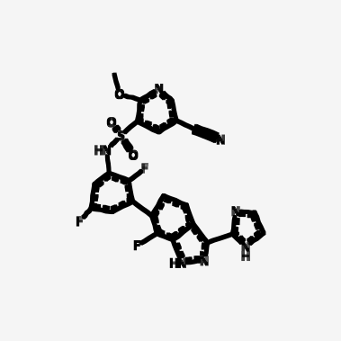 COc1ncc(C#N)cc1S(=O)(=O)Nc1cc(F)cc(-c2ccc3c(-c4ncc[nH]4)n[nH]c3c2F)c1F